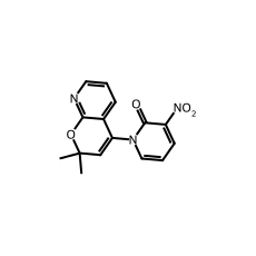 CC1(C)C=C(n2cccc([N+](=O)[O-])c2=O)c2cccnc2O1